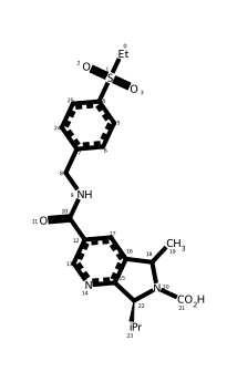 CCS(=O)(=O)c1ccc(CNC(=O)c2cnc3c(c2)C(C)N(C(=O)O)[C@H]3C(C)C)cc1